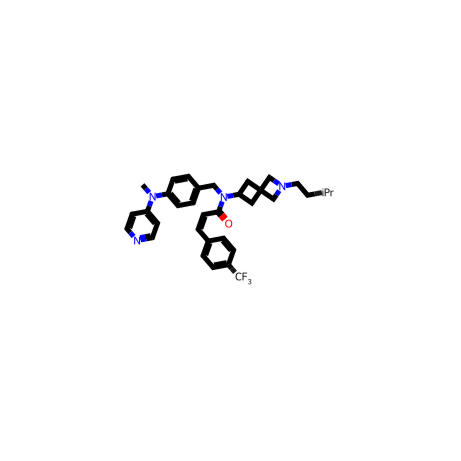 CC(C)CCN1CC2(CC(N(Cc3ccc(N(C)c4ccncc4)cc3)C(=O)C=Cc3ccc(C(F)(F)F)cc3)C2)C1